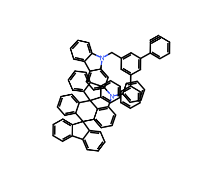 c1cccc(-c2cc(Cn3c4ccccc4c4ccc(N(c5ccccc5)c5cccc6c5C5(c7ccccc7-c7ccccc75)c5ccccc5C65c6ccccc6-c6ccccc65)cc43)cc(-c3ccccc3)c2)c#1